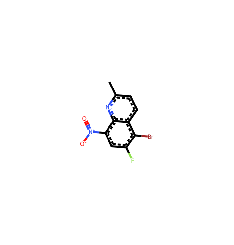 Cc1ccc2c(Br)c(F)cc([N+](=O)[O-])c2n1